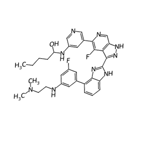 CCCCC(O)Nc1cncc(-c2ncc3[nH]nc(-c4nc5c(-c6cc(F)cc(NCCN(C)C)c6)cccc5[nH]4)c3c2F)c1